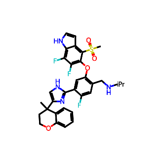 CC(C)NCc1cc(F)c(-c2nc(C3(C)CCOc4ccccc43)c[nH]2)cc1Oc1c(F)c(F)c2[nH]ccc2c1S(C)(=O)=O